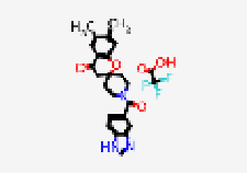 Cc1cc2c(cc1C)C(=O)CC1(CCN(C(=O)c3ccc4[nH]cnc4c3)CC1)O2.O=C(O)C(F)(F)F